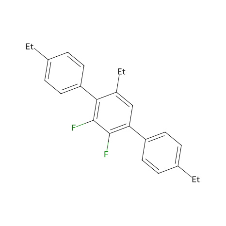 CCc1ccc(-c2cc(CC)c(-c3ccc(CC)cc3)c(F)c2F)cc1